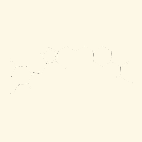 CC(=O)N1CC(=O)N/C(=C\c2ncn(CCCN3CCN(C(=O)NC(C)C)CC3)c2C(C)C)C1=O